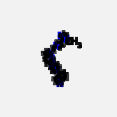 Cn1ccnc1C1CCN(CCn2ccc3ccc(N4CCN(C5=CC=Cc6cc5ccn6)CC4)nc32)C1